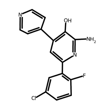 Nc1nc(-c2cc(Cl)ccc2F)cc(-c2ccncc2)c1O